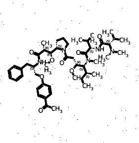 CC[C@H](C)[C@@H]([C@@H](CC(=O)N1CCC[C@H]1[C@H](OC)[C@@H](C)C(=O)N[C@H](COc1ccc(C(C)=O)cc1)Cc1ccccc1)OC)N(C)C(=O)[C@@H](NC(=O)[C@H](C(C)C)N(C)C)C(C)C